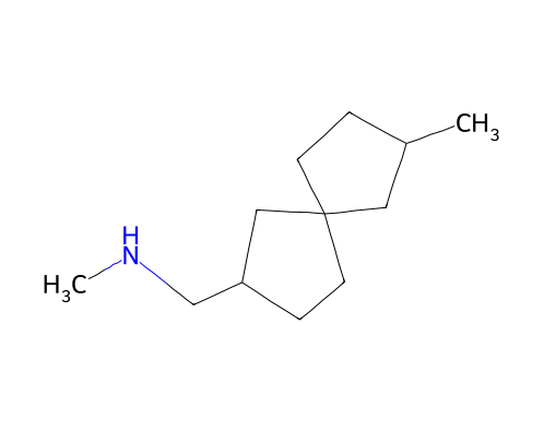 CNCC1CCC2(CCC(C)C2)C1